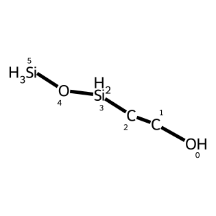 OCC[SiH2]O[SiH3]